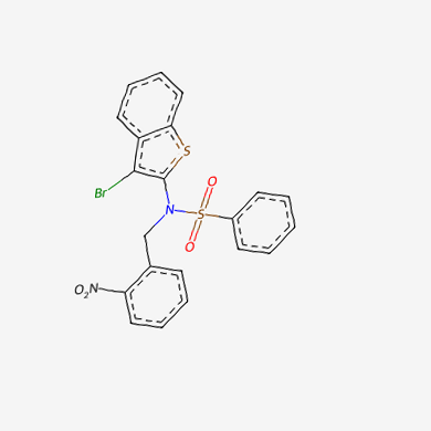 O=[N+]([O-])c1ccccc1CN(c1sc2ccccc2c1Br)S(=O)(=O)c1ccccc1